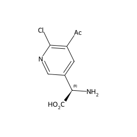 CC(=O)c1cc([C@@H](N)C(=O)O)cnc1Cl